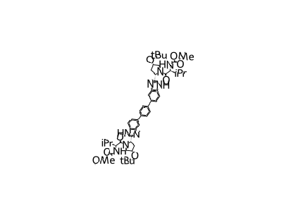 COC(=O)N[C@H](C(=O)N1C[C@H](OC(C)(C)C)C[C@H]1c1nc2cc(-c3ccc(-c4ccc5[nH]c([C@@H]6C[C@@H](OC(C)(C)C)CN6C(=O)[C@@H](NC(=O)OC)C(C)C)nc5c4)cc3)ccc2[nH]1)C(C)C